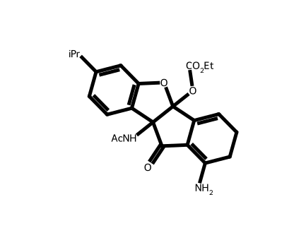 CCOC(=O)OC12Oc3cc(C(C)C)ccc3C1(NC(C)=O)C(=O)C1=C(N)CCC=C12